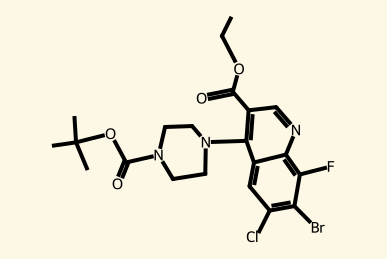 CCOC(=O)c1cnc2c(F)c(Br)c(Cl)cc2c1N1CCN(C(=O)OC(C)(C)C)CC1